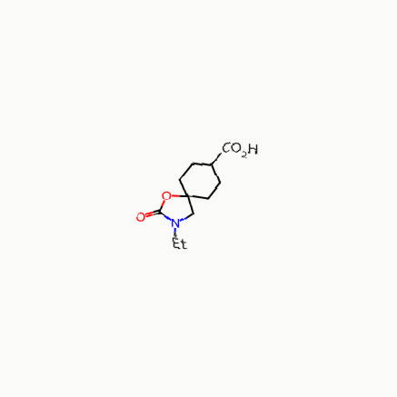 CCN1CC2(CCC(C(=O)O)CC2)OC1=O